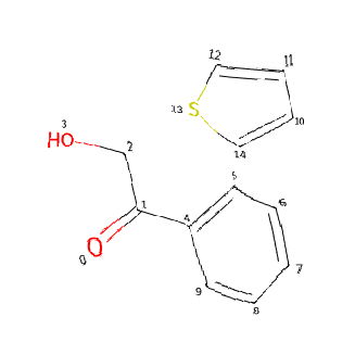 O=C(CO)c1ccccc1.c1ccsc1